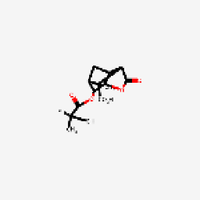 CCC(C)(C)C(=O)OC1C2OC(=O)C3C2CC1C3(C)C(=O)O